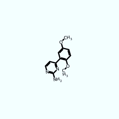 COc1ccc(OC)c(-c2ccnc(N)n2)c1